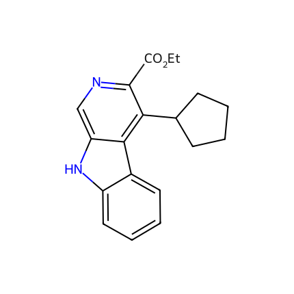 CCOC(=O)c1ncc2[nH]c3ccccc3c2c1C1CCCC1